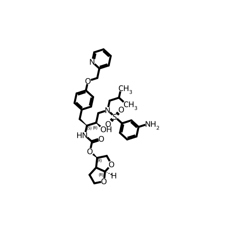 CC(C)CN(C[C@@H](O)[C@H](Cc1ccc(OCc2ccccn2)cc1)NC(=O)O[C@H]1CO[C@H]2OCCC21)S(=O)(=O)c1cccc(N)c1